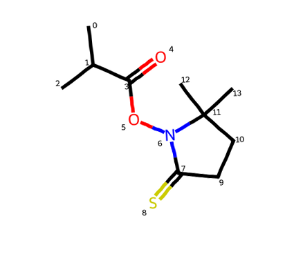 CC(C)C(=O)ON1C(=S)CCC1(C)C